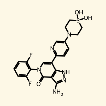 Nc1n[nH]c2c(-c3ccc(N4CCS(O)(O)CC4)cn3)cn(-c3c(F)cccc3F)c(=O)c12